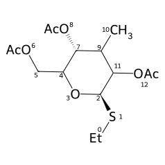 CCS[C@H]1OC(COC(C)=O)[C@H](OC(C)=O)C(C)C1OC(C)=O